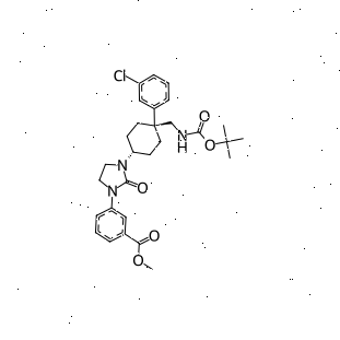 COC(=O)c1cccc(N2CCN([C@H]3CC[C@@](CNC(=O)OC(C)(C)C)(c4cccc(Cl)c4)CC3)C2=O)c1